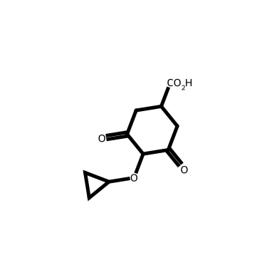 O=C(O)C1CC(=O)C(OC2CC2)C(=O)C1